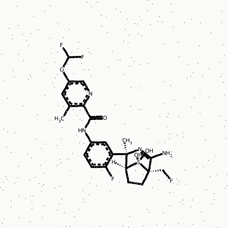 Cc1cc(OC(F)F)cnc1C(=O)Nc1ccc(F)c([C@@]2(C)N=C(N)[C@@]3(CF)CC[C@@H]2S3(O)O)c1